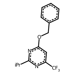 CC(C)c1nc(OCc2ccccc2)cc(C(F)(F)F)n1